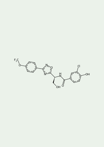 O=C(N[C@@H](CO)c1nc(-c2ccc(OC(F)(F)F)cc2)no1)c1ccc(O)c(Cl)c1